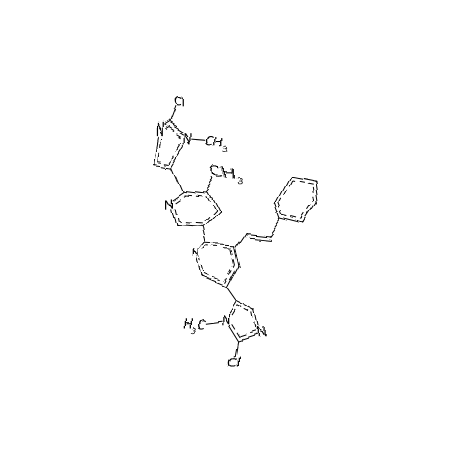 Cc1cc(-c2ncc(-c3cnc(Cl)n3C)cc2C=Cc2ccccc2)cnc1-c1cnc(Cl)n1C